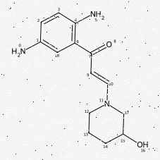 Nc1ccc(N)c(C(=O)C=CN2CCCC(O)C2)c1